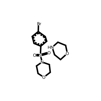 C1COCCN1.O=S(=O)(c1ccc(Br)cc1)N1CCOCC1